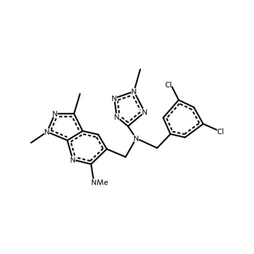 CNc1nc2c(cc1CN(Cc1cc(Cl)cc(Cl)c1)c1nnn(C)n1)c(C)nn2C